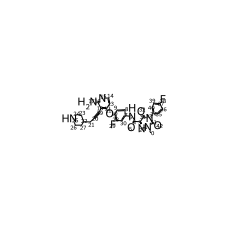 Cn1nc(C(=O)Nc2ccc(Oc3ccnc(N)c3C#CCC3CCNCC3)c(F)c2)c(=O)n(-c2ccc(F)cc2)c1=O